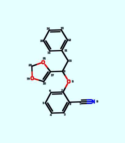 N#Cc1ccccc1OC(Cc1ccccc1)C1=COCO1